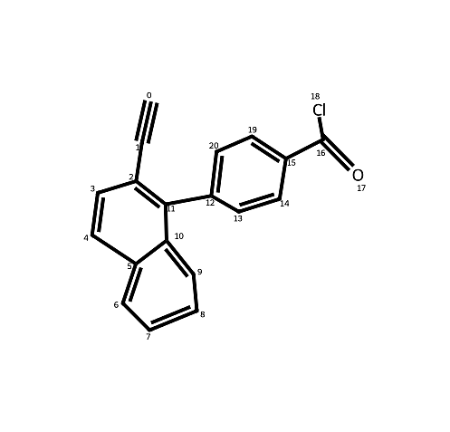 C#Cc1ccc2ccccc2c1-c1ccc(C(=O)Cl)cc1